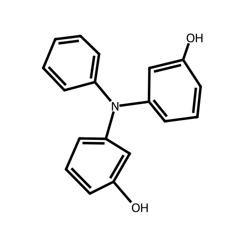 Oc1cccc(N(c2ccccc2)c2cccc(O)c2)c1